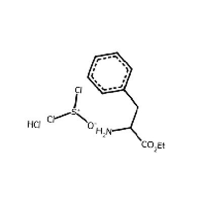 CCOC(=O)C(N)Cc1ccccc1.Cl.[O-][S+](Cl)Cl